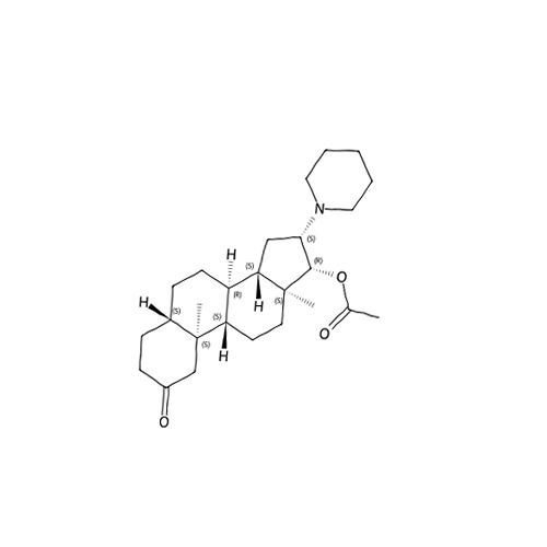 CC(=O)O[C@H]1[C@@H](N2CCCCC2)C[C@H]2[C@@H]3CC[C@H]4CCC(=O)C[C@]4(C)[C@H]3CC[C@@]21C